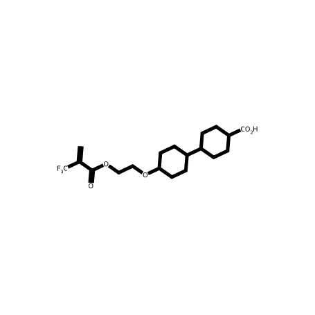 C=C(C(=O)OCCOC1CCC(C2CCC(C(=O)O)CC2)CC1)C(F)(F)F